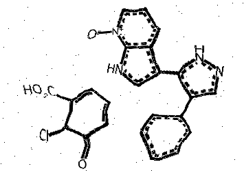 O=C(O)C1=CC=CC(=O)C1Cl.[O-][n+]1cccc2c(-c3[nH]ncc3-c3ccccc3)c[nH]c21